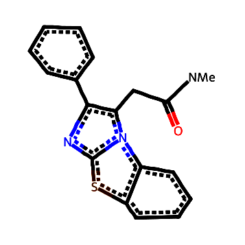 CNC(=O)Cc1c(-c2ccccc2)nc2sc3ccccc3n12